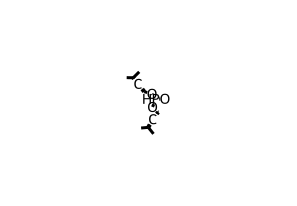 CC(C)=C=CO[PH](=O)OC=C=C(C)C